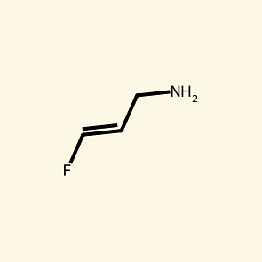 NC/C=C/F